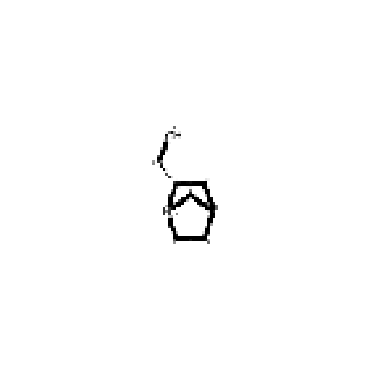 OC[C@@H]1CC2CCN1C2